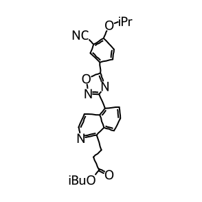 CC(C)COC(=O)CCc1nccc2c(-c3noc(-c4ccc(OC(C)C)c(C#N)c4)n3)cccc12